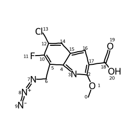 COc1nc2c(CN=[N+]=[N-])c(F)c(Cl)cc2cc1C(=O)O